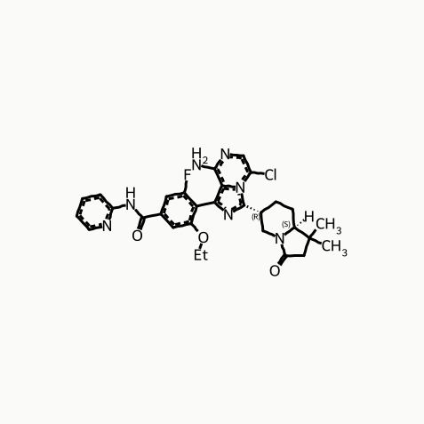 CCOc1cc(C(=O)Nc2ccccn2)cc(F)c1-c1nc([C@@H]2CC[C@@H]3N(C2)C(=O)CC3(C)C)n2c(Cl)cnc(N)c12